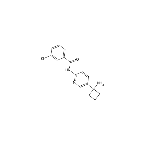 NC1(c2ccc(NC(=O)c3cccc(Cl)c3)nc2)CCC1